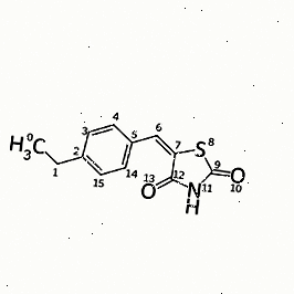 CCc1ccc(C=C2SC(=O)NC2=O)cc1